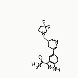 NC(=O)c1n[nH]c2ccc(-c3cncc(CN4CCC(F)(F)C4)c3)cc12